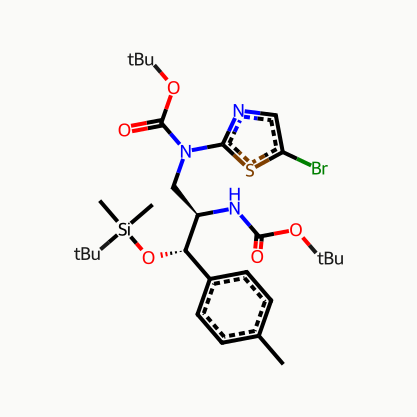 Cc1ccc([C@H](O[Si](C)(C)C(C)(C)C)[C@@H](CN(C(=O)OC(C)(C)C)c2ncc(Br)s2)NC(=O)OC(C)(C)C)cc1